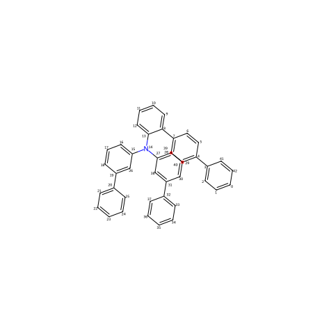 c1ccc(-c2ccc(-c3ccccc3N(c3cccc(-c4ccccc4)c3)c3cccc(-c4ccccc4)c3)cc2)cc1